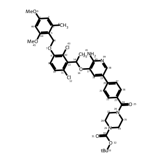 COc1cc(C)c(COc2ccc(Cl)c(C(C)Oc3cc(-c4ccc(C(=O)N5CCN(C(=O)OC(C)(C)C)CC5)cc4)cnc3N)c2Cl)c(OC)c1